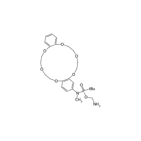 CN(c1ccc2c(c1)OCCOCCOc1ccccc1OCCOCCO2)P(=O)(OCN)C(C)(C)C